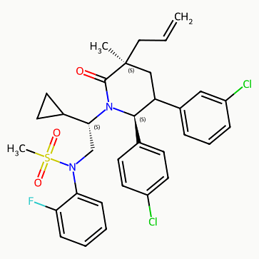 C=CC[C@@]1(C)CC(c2cccc(Cl)c2)[C@@H](c2ccc(Cl)cc2)N([C@H](CN(c2ccccc2F)S(C)(=O)=O)C2CC2)C1=O